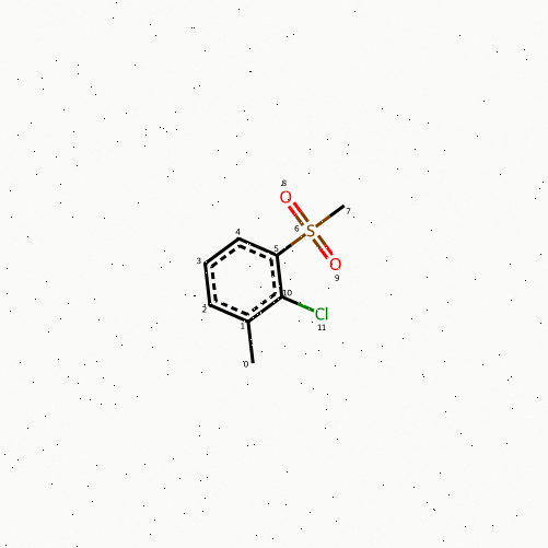 Cc1[c]ccc(S(C)(=O)=O)c1Cl